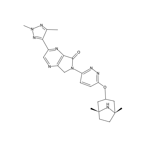 Cc1nn(C)nc1-c1cnc2c(n1)C(=O)N(c1ccc(OC3C[C@]4(C)CC[C@](C)(C3)N4)nn1)C2